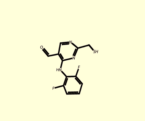 O=Cc1cnc(CS)nc1Nc1c(F)cccc1F